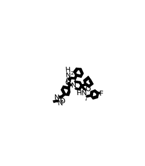 Cc1noc(-c2ccc(C(=O)N3CCC(C(=O)N[C@@H](C)c4ccc(F)cc4)(c4ccccc4)CC3[C@@H](C(N)=O)c3ccccc3)cc2)n1